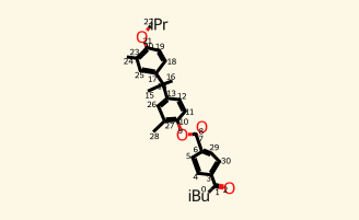 CCC(C)C(=O)c1ccc(C(=O)Oc2ccc(C(C)(C)c3ccc(OC(C)C)c(C)c3)cc2C)cc1